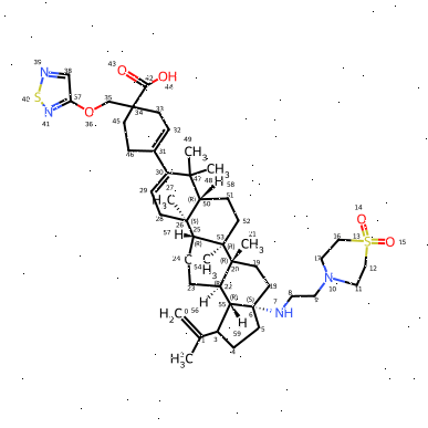 C=C(C)C1CC[C@]2(NCCN3CCS(=O)(=O)CC3)CC[C@]3(C)[C@H](CC[C@@H]4[C@@]5(C)CC=C(C6=CCC(COc7cnsn7)(C(=O)O)CC6)C(C)(C)[C@@H]5CC[C@]43C)[C@@H]12